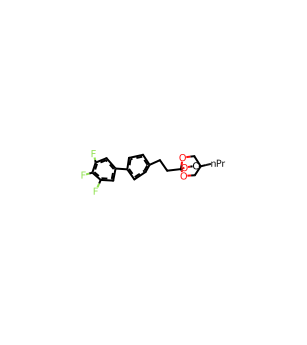 CCCC12COC(CCc3ccc(-c4cc(F)c(F)c(F)c4)cc3)(OC1)OC2